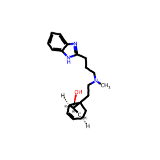 CN(CCCc1nc2ccccc2[nH]1)CC[C@]1(O)C[C@@H]2C=C[C@H]1CC2